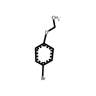 [CH2]COc1ccc(Br)cc1